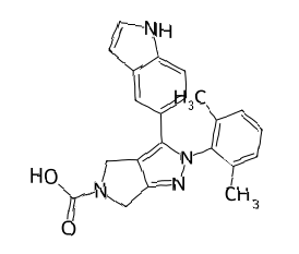 Cc1cccc(C)c1-n1nc2c(c1-c1ccc3[nH]ccc3c1)CN(C(=O)O)C2